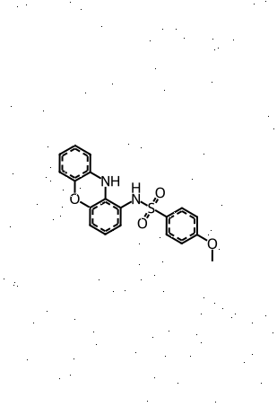 COc1ccc(S(=O)(=O)Nc2cccc3c2Nc2ccccc2O3)cc1